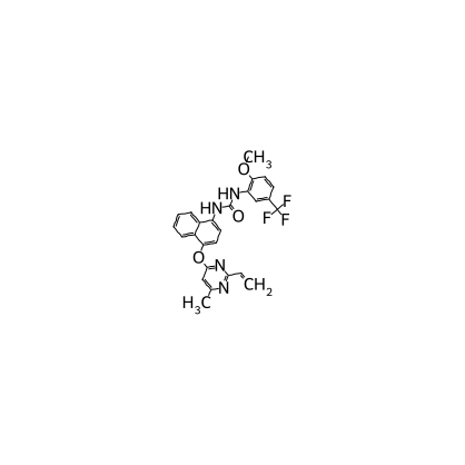 C=Cc1nc(C)cc(Oc2ccc(NC(=O)Nc3cc(C(F)(F)F)ccc3OC)c3ccccc23)n1